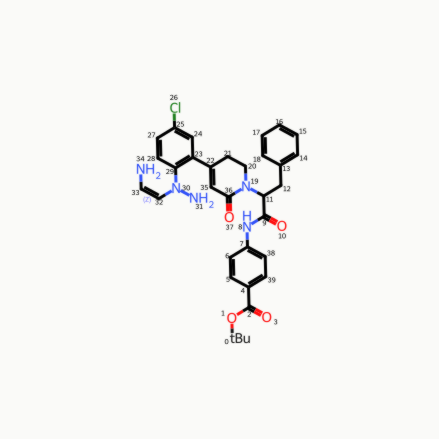 CC(C)(C)OC(=O)c1ccc(NC(=O)C(Cc2ccccc2)N2CCC(c3cc(Cl)ccc3N(N)/C=C\N)=CC2=O)cc1